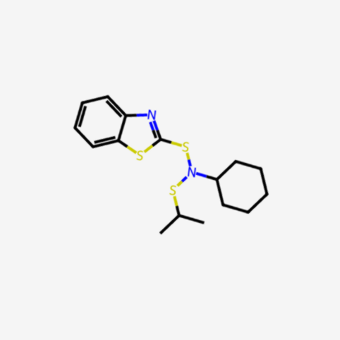 CC(C)SN(Sc1nc2ccccc2s1)C1CCCCC1